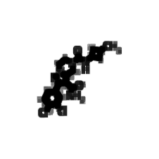 CC1CC(NC(=O)N2CCn3nc(-c4ccc(Cl)c(Cl)c4)c(C(N)=O)c3C2)C1